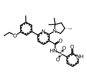 CCOc1cc(C)cc(-c2ccc(C(=O)NS(=O)(=O)c3ccc[nH]c3=O)c(N3C[C@@H](C)CC3(C)C)n2)c1